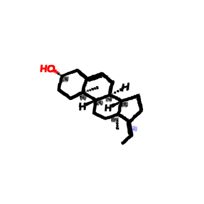 C/C=C1/CC[C@H]2[C@@H]3CC=C4C[C@@H](O)CC[C@]4(C)[C@H]3CC[C@]12C